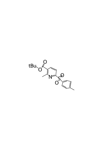 Cc1ccc(S(=O)(=O)c2ccc(C(=O)OC(C)(C)C)c(C)n2)cc1